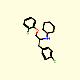 Clc1ccc(C[C@@H](COc2ccccc2Br)NC2CCCCC2)cc1